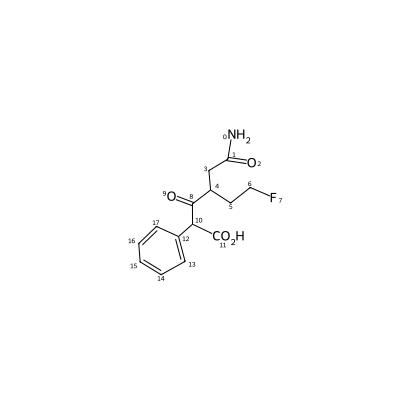 NC(=O)CC(CCF)C(=O)C(C(=O)O)c1ccccc1